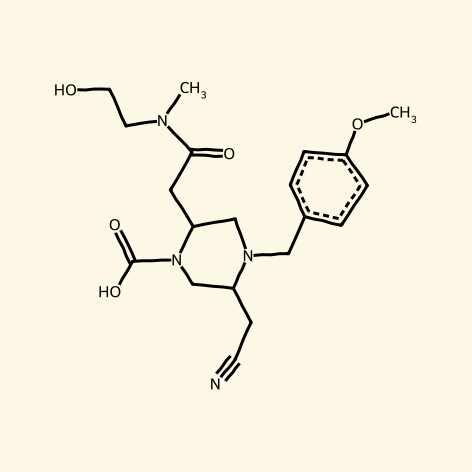 COc1ccc(CN2CC(CC(=O)N(C)CCO)N(C(=O)O)CC2CC#N)cc1